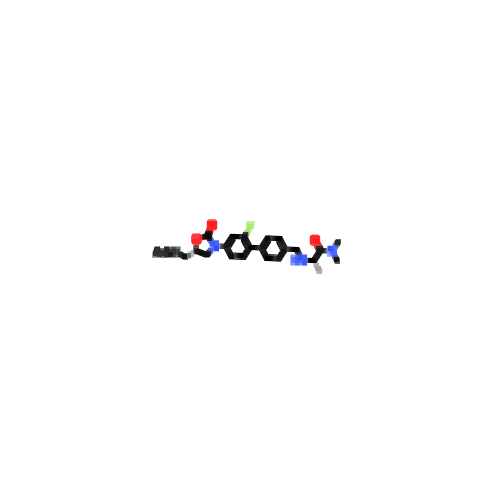 CC(=O)NC[C@H]1CN(c2ccc(-c3ccc(CN[C@@H](C)C(=O)N(C)C)cc3)c(F)c2)C(=O)O1